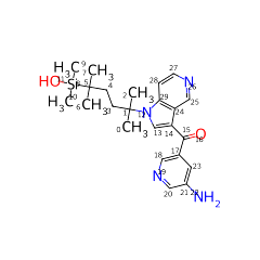 CC(C)(CCC(C)(C)[Si](C)(C)O)n1cc(C(=O)c2cncc(N)c2)c2cnccc21